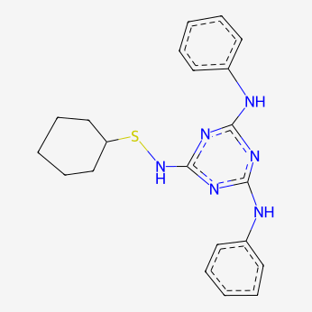 c1ccc(Nc2nc(NSC3CCCCC3)nc(Nc3ccccc3)n2)cc1